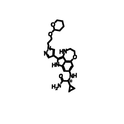 NC(=O)[C@@H](Nc1cc2c3c(c(-c4cnn(CCOC5CCCCO5)c4)[nH]c3c1)NCCO2)C1CC1